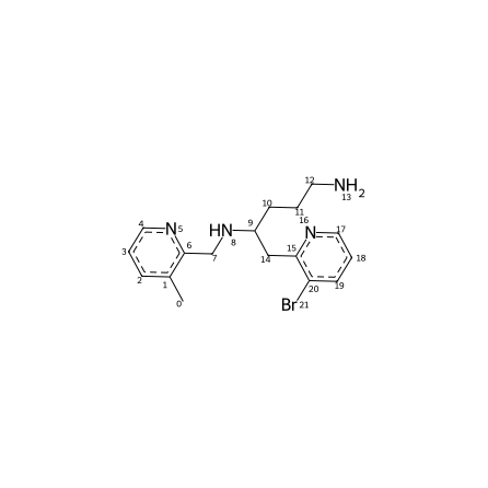 Cc1cccnc1CNC(CCCN)Cc1ncccc1Br